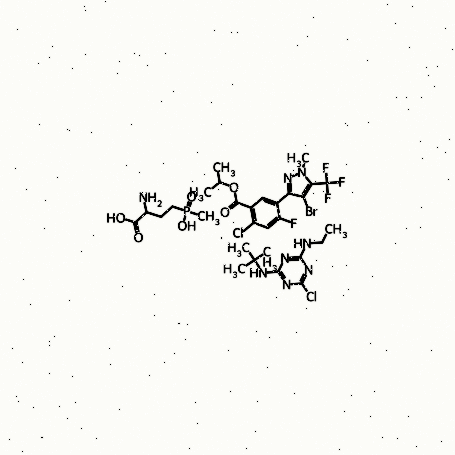 CC(C)OC(=O)c1cc(-c2nn(C)c(C(F)(F)F)c2Br)c(F)cc1Cl.CCNc1nc(Cl)nc(NC(C)(C)C)n1.CP(=O)(O)CCC(N)C(=O)O